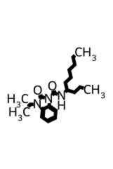 CCCCCCC(CCC)NC(=O)n1c(=O)n(C(C)C)c2ccccc21